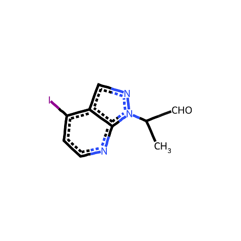 CC(C=O)n1ncc2c(I)ccnc21